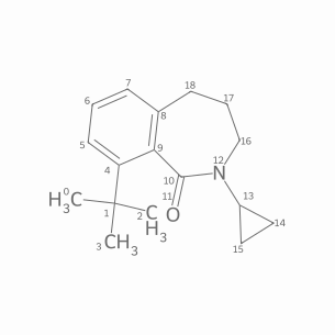 CC(C)(C)c1cccc2c1C(=O)N(C1CC1)CCC2